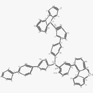 c1ccc(-c2ccc(-c3ccc(N(c4ccc(-c5cccc(-n6c7ccccc7c7ccccc76)c5)cc4)c4cccc(-c5cccc6oc7ccccc7c56)c4)cc3)cc2)cc1